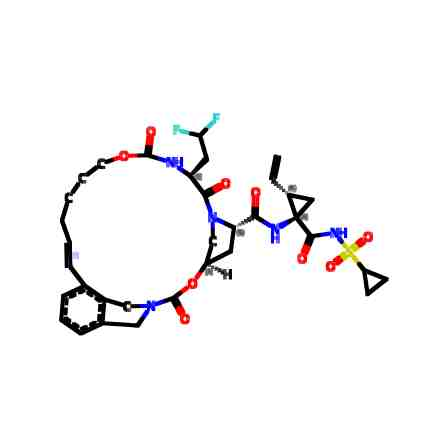 C=C[C@@H]1C[C@]1(NC(=O)[C@@H]1C[C@@H]2CN1C(=O)[C@H](CC(F)F)NC(=O)OCCCC/C=C/c1cccc3c1CN(C3)C(=O)O2)C(=O)NS(=O)(=O)C1CC1